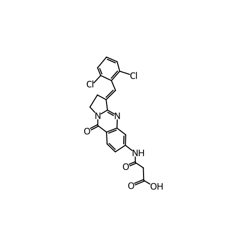 O=C(O)CC(=O)Nc1ccc2c(=O)n3c(nc2c1)/C(=C/c1c(Cl)cccc1Cl)CC3